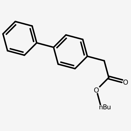 CCCCOC(=O)Cc1ccc(-c2ccccc2)cc1